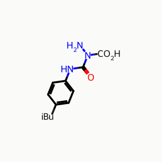 CCC(C)c1ccc(NC(=O)N(N)C(=O)O)cc1